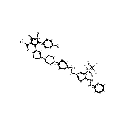 Cc1c(C(=O)O)c(C2=CCCC(N3CCN(c4ccc(NSC5=CCC(NSc6ccccc6)C(S(=O)(=O)C(F)(F)F)=C5)cc4)CC3)=C2)c(-c2ccc(Cl)cc2)n1C